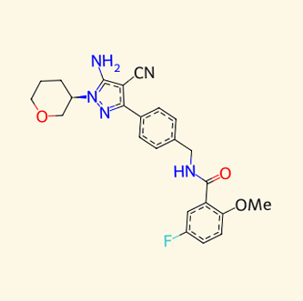 COc1ccc(F)cc1C(=O)NCc1ccc(-c2nn([C@@H]3CCCOC3)c(N)c2C#N)cc1